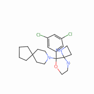 Clc1cc(Cl)cc(C2(N3CCC4(CCCC4)CC3)OCC[N]C23CCN3)c1